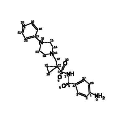 Nc1ccc(C(=O)NS(=O)(=O)C2(CN3CCN(c4ccncc4)CC3)CC2)cc1